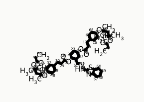 C=CC(=O)OC(C)(C)CC(C)(C)Oc1ccc(/C=C/C(=O)Oc2ccc(OC(=O)/C=C/c3ccc(OC(C)(C)CC(C)(C)OC(=O)C=C)cc3)c(/C=N/Nc3nc4ccccc4s3)c2)cc1